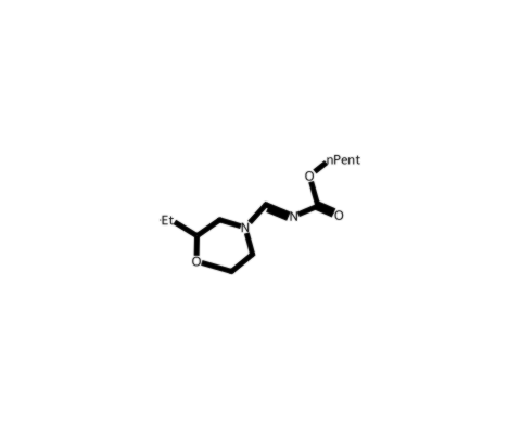 C[CH]C1CN(C=NC(=O)OCCCCC)CCO1